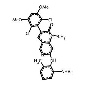 COc1cc(OC)c(Cl)c(-c2cc3cnc(Nc4c(C)cccc4NC(C)=O)cc3n(C)c2=O)c1Cl